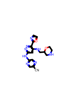 N#Cc1cnc(Nc2cc(NCC3CNCCO3)c(-c3ncco3)nn2)cn1